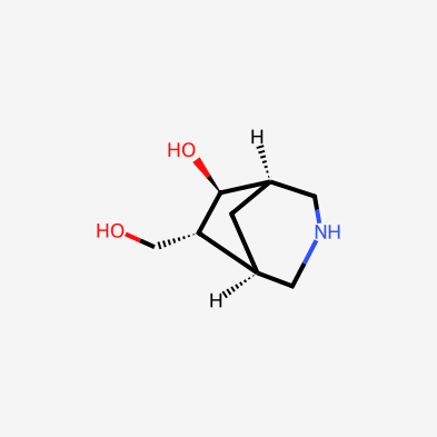 OC[C@H]1[C@@H]2CNC[C@@H](C2)[C@@H]1O